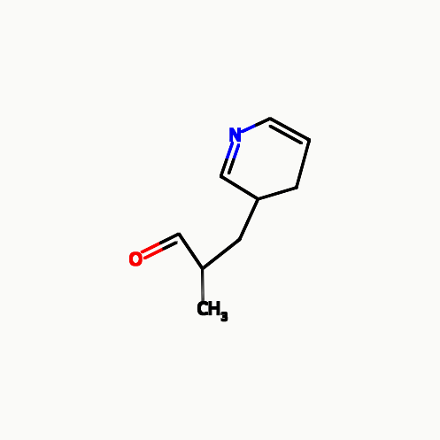 CC(C=O)CC1C=NC=CC1